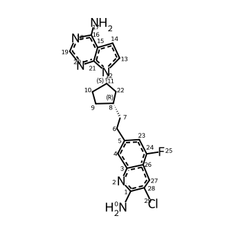 Nc1nc2cc(CC[C@@H]3CC[C@H](n4ccc5c(N)ncnc54)C3)cc(F)c2cc1Cl